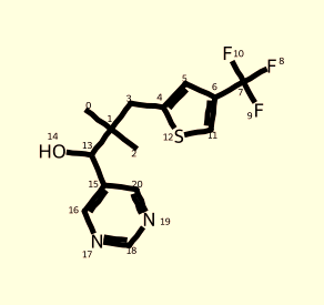 CC(C)(Cc1cc(C(F)(F)F)cs1)C(O)c1cncnc1